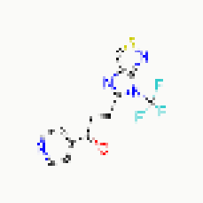 O=C(C=Cc1nc2csnc2n1C(F)(F)F)c1ccncc1